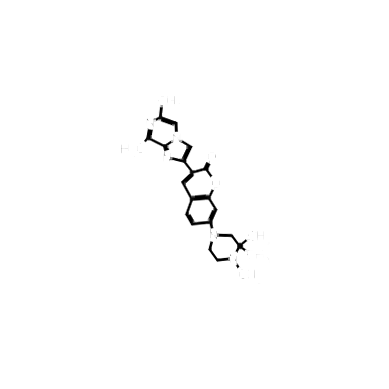 Cc1cn2cc(-c3cc4ccc(N5CCN(C)C(C)(C)C5)cc4oc3=O)nc2c(C)n1